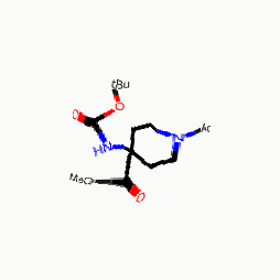 COC(=O)C1(NC(=O)OC(C)(C)C)CCN(C(C)=O)CC1